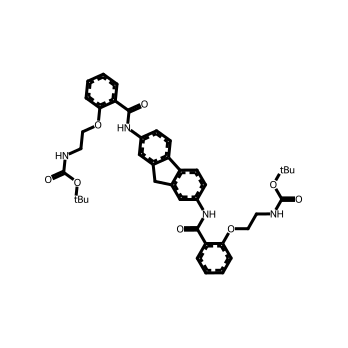 CC(C)(C)OC(=O)NCCOc1ccccc1C(=O)Nc1ccc2c(c1)Cc1cc(NC(=O)c3ccccc3OCCNC(=O)OC(C)(C)C)ccc1-2